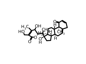 CC1=C(CO)C(=O)O[C@@H]([C@@H](C)[C@@]2(O)CC[C@H]3[C@@H]4CC=C5CC=CC(=O)[C@]5(C)[C@H]4CC[C@@]32C)C1O